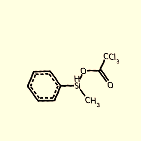 C[SiH](OC(=O)C(Cl)(Cl)Cl)c1ccccc1